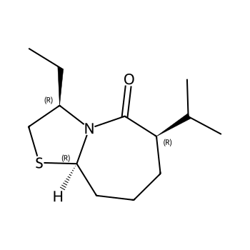 CC[C@@H]1CS[C@@H]2CCC[C@H](C(C)C)C(=O)N12